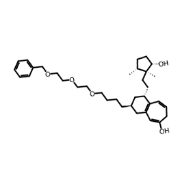 C[C@@H]1CC[C@H](O)[C@@]1(C)CC[C@H]1C[C@H](CCCCOCCOCCOCc2ccccc2)CC2=C1C=CCC(O)=C2